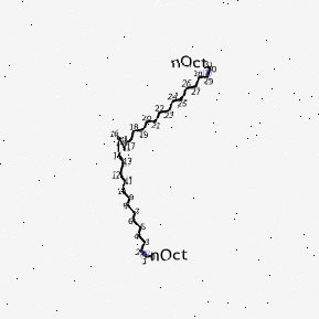 CCCCCCCC/C=C\CCCCCCCCCCCCN(C)CCCCCCCCCCCC/C=C\CCCCCCCC